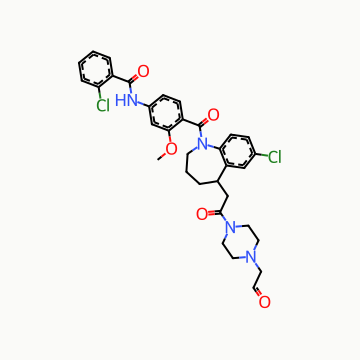 COc1cc(NC(=O)c2ccccc2Cl)ccc1C(=O)N1CCCC(CC(=O)N2CCN(CC=O)CC2)c2cc(Cl)ccc21